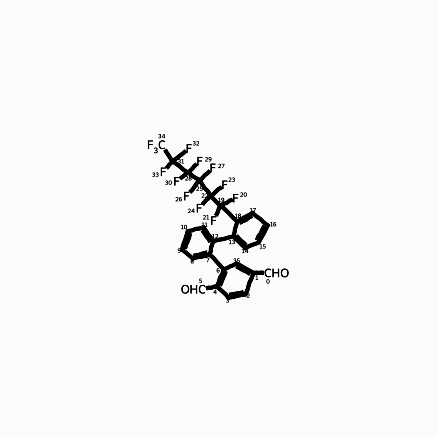 O=Cc1ccc(C=O)c(-c2ccccc2-c2ccccc2C(F)(F)C(F)(F)C(F)(F)C(F)(F)C(F)(F)C(F)(F)F)c1